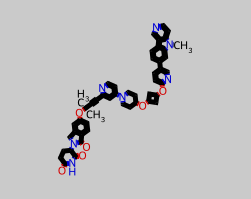 Cn1c2ccncc2c2ccc(-c3ccc(OC4CC(OC5CCN(c6ccnc(C#CC(C)(C)Oc7ccc8c(c7)CN(C7CCC(=O)NC7=O)C8=O)c6)CC5)C4)nc3)cc21